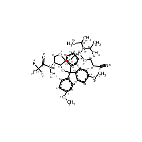 COc1ccc(C(O[C@@H]2[C@H](N(C)C(=O)C(F)(F)F)CO[C@@H]2COP(OCCC#N)N(C(C)C)C(C)C)(c2ccccc2)c2ccc(OC)cc2)cc1